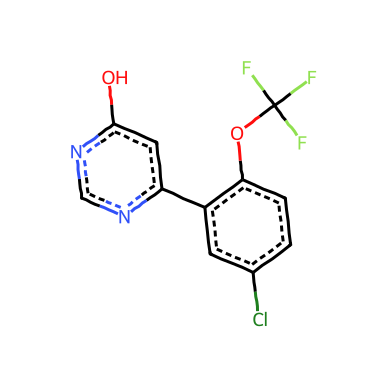 Oc1cc(-c2cc(Cl)ccc2OC(F)(F)F)ncn1